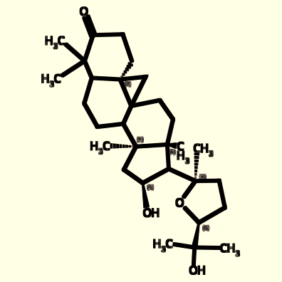 CC1(C)C(=O)CC[C@]23CC24CC[C@]2(C)C([C@@]5(C)CC[C@@H](C(C)(C)O)O5)[C@@H](O)C[C@@]2(C)C4CCC13